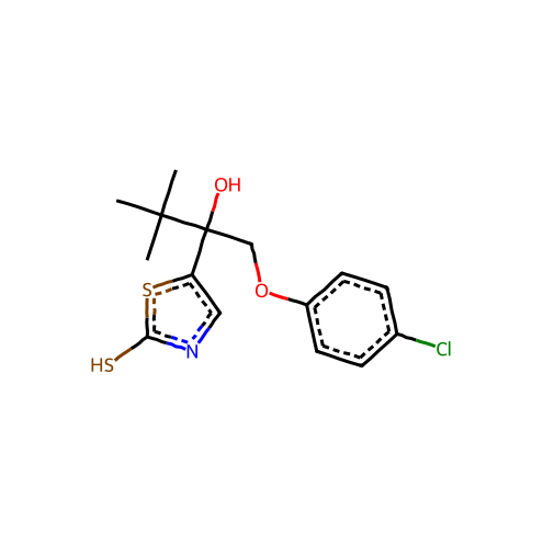 CC(C)(C)C(O)(COc1ccc(Cl)cc1)c1cnc(S)s1